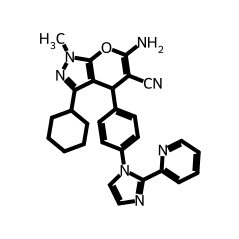 Cn1nc(C2CCCCC2)c2c1OC(N)=C(C#N)C2c1ccc(-n2ccnc2-c2ccccn2)cc1